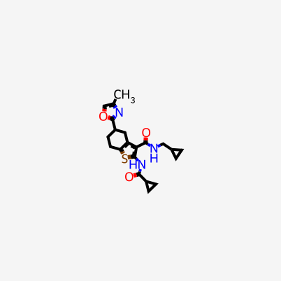 Cc1coc(C2CCc3sc(NC(=O)C4CC4)c(C(=O)NCC4CC4)c3C2)n1